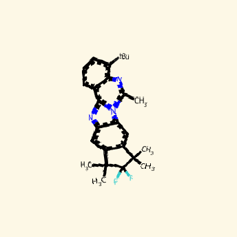 Cc1nc2c(C(C)(C)C)cccc2c2nc3cc4c(cc3n12)C(C)(C)C(F)(F)C4(C)C